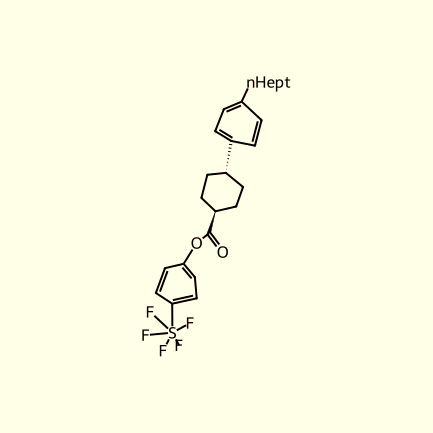 CCCCCCCc1ccc([C@H]2CC[C@H](C(=O)Oc3ccc(S(F)(F)(F)(F)F)cc3)CC2)cc1